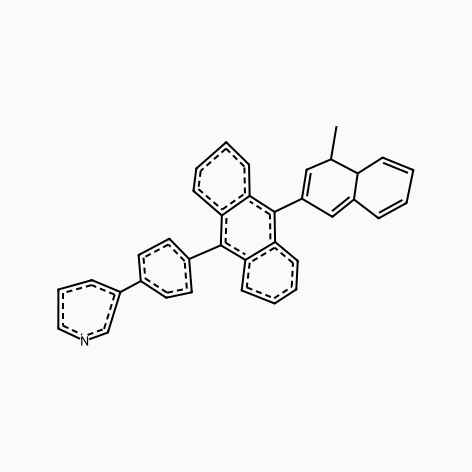 CC1C=C(c2c3ccccc3c(-c3ccc(-c4cccnc4)cc3)c3ccccc23)C=C2C=CC=CC21